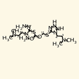 CN(C)CCN1NNN=C1SCOC(=O)S/C(=N/N)N(N)CCN(C)C